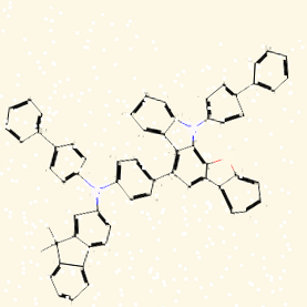 CC1(C)c2ccccc2-c2ccc(N(c3ccc(-c4ccccc4)cc3)c3ccc(-c4cc5c6ccccc6oc5c5c4c4ccccc4n5-c4ccc(-c5ccccc5)cc4)cc3)cc21